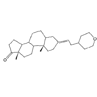 C[C@]12CC/C(=C\CC3CCOCC3)CC1CCC1C2CC[C@]2(C)C(=O)CCC12